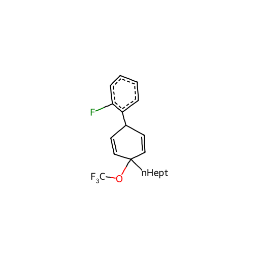 CCCCCCCC1(OC(F)(F)F)C=CC(c2ccccc2F)C=C1